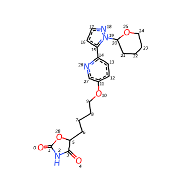 O=C1NC(=O)C(CCCCOc2ccc(-c3ccnn3C3CCCCO3)nc2)O1